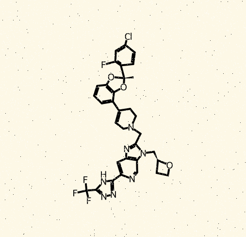 C[C@]1(c2ccc(Cl)cc2F)Oc2cccc(C3=CCN(Cc4nc5cc(-c6nnc(C(F)(F)F)[nH]6)ncc5n4C[C@@H]4CCO4)CC3)c2O1